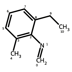 C=Nc1c(C)cccc1CC